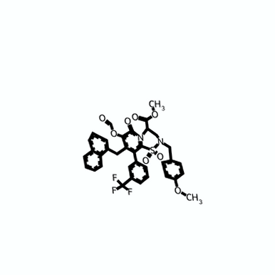 COC(=O)C1CN(Cc2ccc(OC)cc2)S(=O)(=O)c2c(-c3cccc(C(F)(F)F)c3)c(Cc3cccc4ccccc34)c(OC=O)c(=O)n21